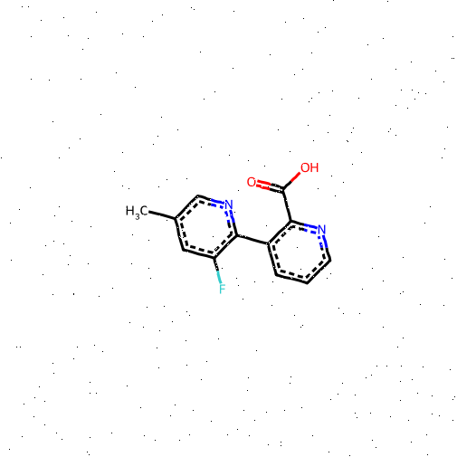 Cc1cnc(-c2cccnc2C(=O)O)c(F)c1